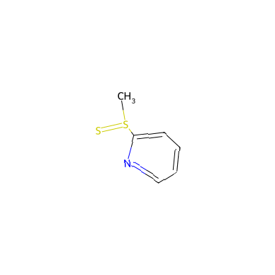 CS(=S)c1ccccn1